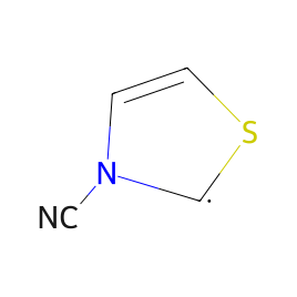 N#CN1[CH]SC=C1